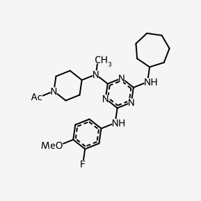 COc1ccc(Nc2nc(NC3CCCCCC3)nc(N(C)C3CCN(C(C)=O)CC3)n2)cc1F